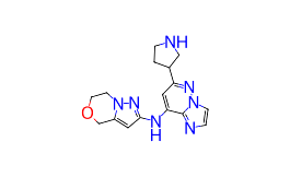 c1cn2nc(C3CCNC3)cc(Nc3cc4n(n3)CCOC4)c2n1